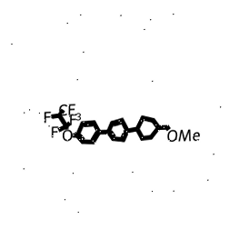 COCC1CCC(c2ccc(-c3ccc(OC(F)(F)C(F)C(F)(F)F)cc3)cc2)CC1